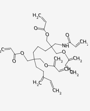 C=CC(=C)CCC(CCCC(CNC(=O)C=C)(COC(=C)C=C)COC(=O)C=C)(COC(=C)C=C)COC(=O)C=C